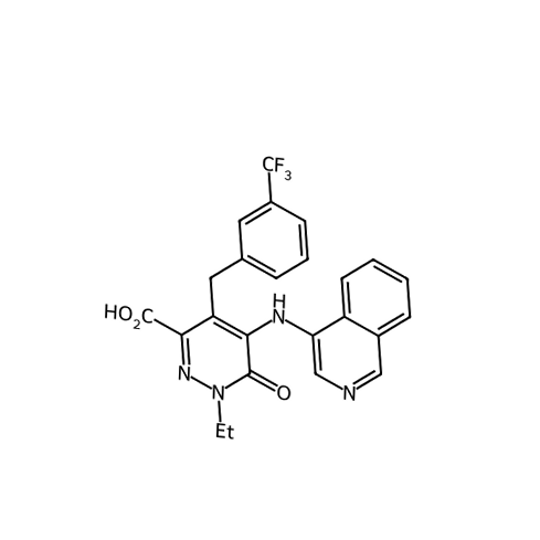 CCn1nc(C(=O)O)c(Cc2cccc(C(F)(F)F)c2)c(Nc2cncc3ccccc23)c1=O